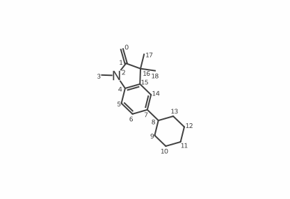 C=C1N(C)c2ccc(C3CCCCC3)cc2C1(C)C